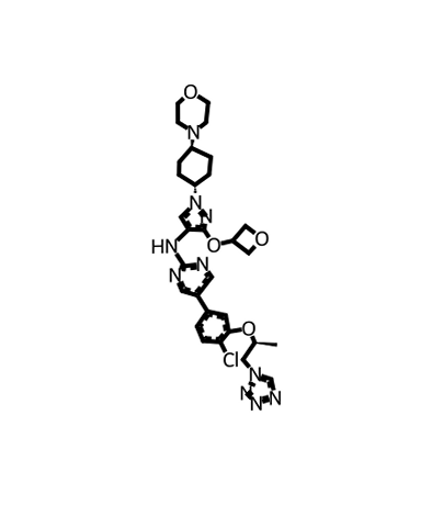 C[C@@H](Cn1cnnn1)Oc1cc(-c2cnc(Nc3cn([C@H]4CC[C@H](N5CCOCC5)CC4)nc3OC3COC3)nc2)ccc1Cl